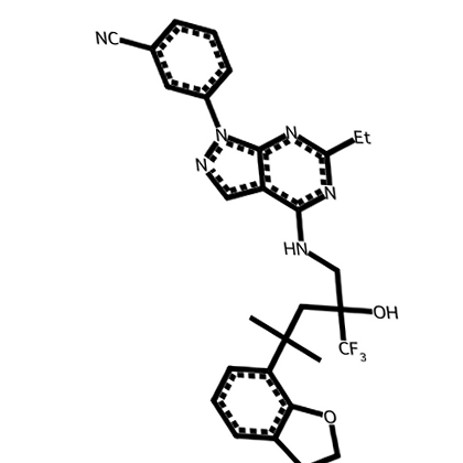 CCc1nc(NCC(O)(CC(C)(C)c2cccc3c2OCC3)C(F)(F)F)c2cnn(-c3cccc(C#N)c3)c2n1